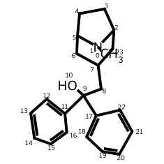 CN1C2CCC1CC(CC(O)(c1ccccc1)c1ccccc1)C2